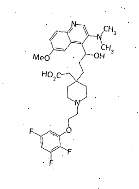 COc1ccc2ncc(N(C)C)c(C(O)CCC3(CC(=O)O)CCN(CCOc4cc(F)cc(F)c4F)CC3)c2c1